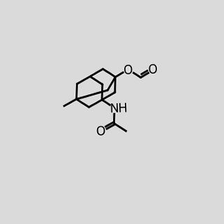 CC(=O)NC12CC3CC(C)(C1)CC(OC=O)(C3)C2